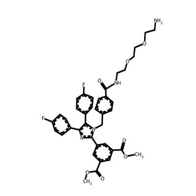 COC(=O)c1cc(C(=O)OC)cc(-c2nc(-c3ccc(F)cc3)c(-c3ccc(F)cc3)n2Cc2ccc(C(=O)NCCOCCOCCN)cc2)c1